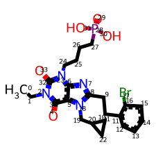 CCn1c(=O)c2c(nc(CCc3ccccc3Br)n2CC2CC2)n(CCCCP(=O)(O)O)c1=O